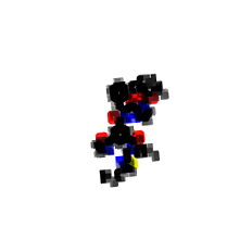 Cc1csc(CN(C)C(=O)c2cc(C(=O)N[C@@H](Cc3ccccc3)[C@H](O)C3CCCN3C(=O)OC(C)(C)C)cc(-c3ncco3)c2)n1